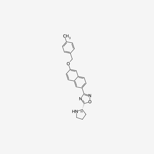 Cc1ccc(COc2ccc3cc(-c4noc([C@@H]5CCCN5)n4)ccc3c2)cc1